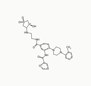 Cc1ccccc1N1CCN(c2ccc(C(=O)NCCNC3CS(=O)(=O)C[C@H]3O)cc2NC(=O)c2ccco2)CC1